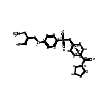 NCC(=CF)COc1ccc(S(=O)(=O)CC23CCC(C(=O)N4CCCC4)(CC2)CC3)cc1